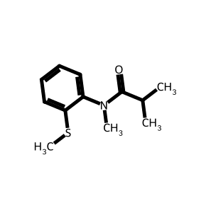 CSc1ccccc1N(C)C(=O)C(C)C